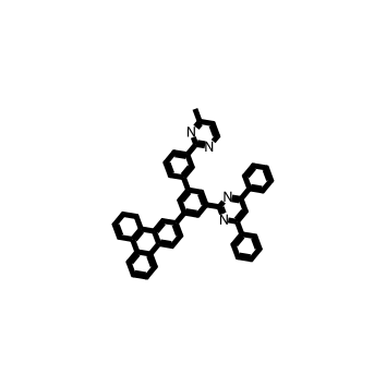 Cc1ccnc(-c2cccc(-c3cc(-c4ccc5c(c4)c4c(c6ccccc65)C=CCC4)cc(-c4nc(-c5ccccc5)cc(-c5ccccc5)n4)c3)c2)n1